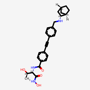 C[C@@H](O)[C@H](NC(=O)c1ccc(C#Cc2ccc(CN[C@@H]3C[C@@H]4CC[C@@H]3C4)cc2)cc1)C(=O)NO